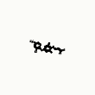 Cc1cc(Oc2ncc(C(F)(F)F)cc2Cl)cc(C)c1OCC=C(Cl)Cl